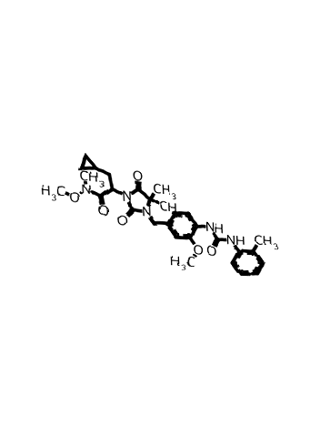 COc1cc(CN2C(=O)N(C(CC3CC3)C(=O)N(C)OC)C(=O)C2(C)C)ccc1NC(=O)Nc1ccccc1C